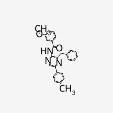 COc1cccc(C(=O)Nc2ncc(-c3ccc(C)cc3)nc2Cc2ccccc2)c1